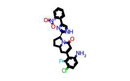 Nc1ccc(Cl)c(F)c1C1=CC(=O)N2C(CC[C@H]2c2nc(-c3ccccc3[N+](=O)[O-])c[nH]2)C1